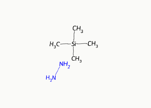 C[Si](C)(C)C.NN